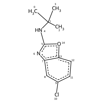 CC(C)(C)Nc1nc2cc(Cl)ccc2o1